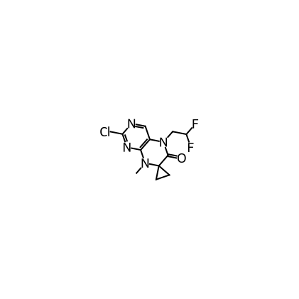 CN1c2nc(Cl)ncc2N(CC(F)F)C(=O)C12CC2